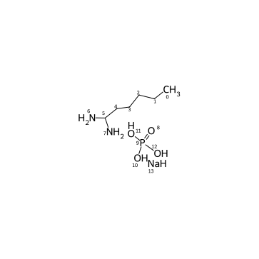 CCCCCC(N)N.O=P(O)(O)O.[NaH]